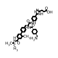 Cc1cc(C(=O)NC(C)C)ccc1-c1ccc(C[C@H](NC(=O)[C@H]2CC[C@H](CN)CC2)C(=O)Nc2ccc(-c3nnc(CCC(=O)O)[nH]3)cc2)cc1